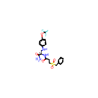 NC(=O)[C@@H](CNc1ccc(OC(F)(F)F)cc1)NC(=O)[CH]CS(=O)(=O)Cc1ccccc1